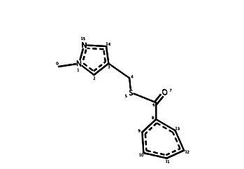 Cn1cc(CSC(=O)c2ccccc2)cn1